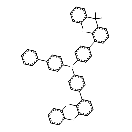 CC1(C)c2ccccc2Oc2c(-c3ccc(N(c4ccc(-c5ccccc5)cc4)c4ccc(-c5cccc6c5Sc5ccccc5S6)cc4)cc3)cccc21